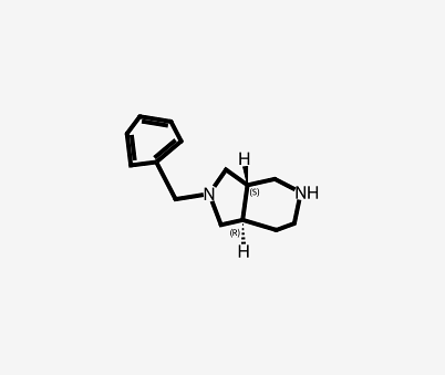 c1ccc(CN2C[C@@H]3CCNC[C@H]3C2)cc1